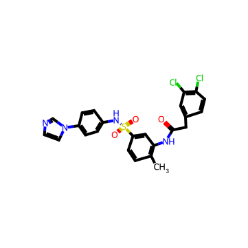 Cc1ccc(S(=O)(=O)Nc2ccc(-n3ccnc3)cc2)cc1NC(=O)Cc1ccc(Cl)c(Cl)c1